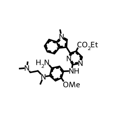 CCOC(=O)c1cnc(Nc2cc(N)c(N(C)CCN(C)C)cc2OC)nc1-c1cn(C)c2ccccc12